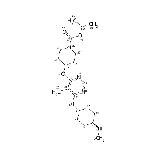 CN[C@H]1CC[C@H](Oc2ncnc(OC3CCN(C(=O)OC(C)C)CC3)c2C)CC1